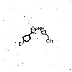 OCC1CC(Nc2nc(-c3ccc(Br)cc3)cs2)C1